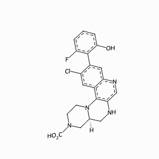 O=C(O)N1CCN2c3c(cnc4cc(-c5c(O)cccc5F)c(Cl)cc34)NC[C@H]2C1